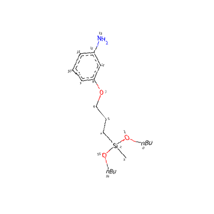 CCCCO[Si](C)(CCCOc1cccc(N)c1)OCCCC